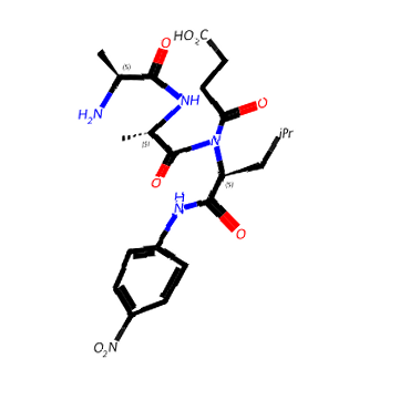 CC(C)C[C@@H](C(=O)Nc1ccc([N+](=O)[O-])cc1)N(C(=O)CCC(=O)O)C(=O)[C@H](C)NC(=O)[C@H](C)N